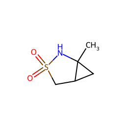 CC12CC1CS(=O)(=O)N2